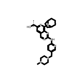 C[C@@H](O)c1cc2cnc(Nc3ccc(CN4CCN(C)CC4)cn3)nc2c(N2C3CCCC2CC3)n1